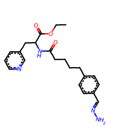 CCOC(=O)C(Cc1cccnc1)NC(=O)CCCCc1ccc(C=NN)cc1